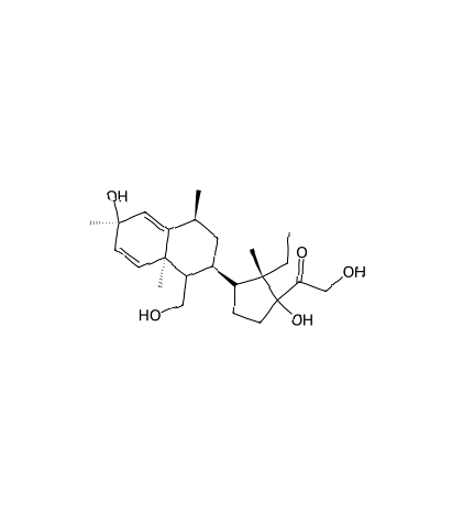 CC[C@@]1(C)C([C@@H]2C[C@H](C)C3=C[C@](C)(O)C=C[C@]3(C)C2CO)CCC1(O)C(=O)CO